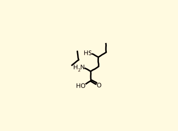 CCC.CCC(S)CC(N)C(=O)O